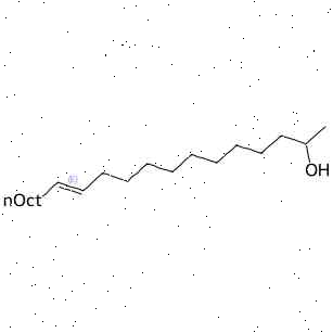 CCCCCCCC/C=C/CCCCCCCCCC(C)O